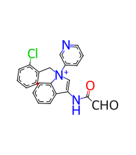 O=CC(=O)NC1=C[N+](Cc2ccccc2Cl)(c2cccnc2)c2ccccc21